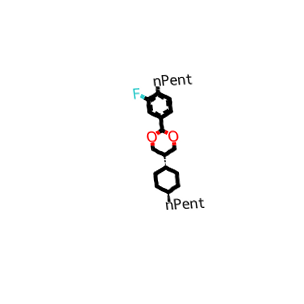 CCCCCc1ccc(C2OCC([C@H]3CC[C@H](CCCCC)CC3)CO2)cc1F